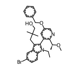 CCn1c(-c2cc(OCc3ccccc3)cnc2[C@H](C)OC)c(CC(C)(C)CO)c2cc(Br)ccc21